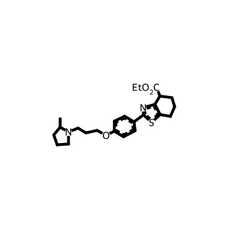 CCOC(=O)C1CCCc2sc(-c3ccc(OCCCN4CCCC4C)cc3)nc21